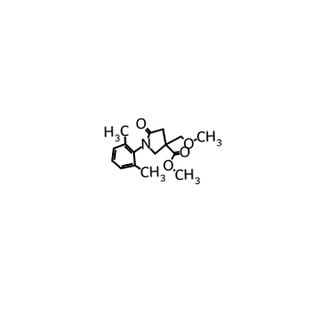 COCC1(C(=O)OC)CC(=O)N(c2c(C)cccc2C)C1